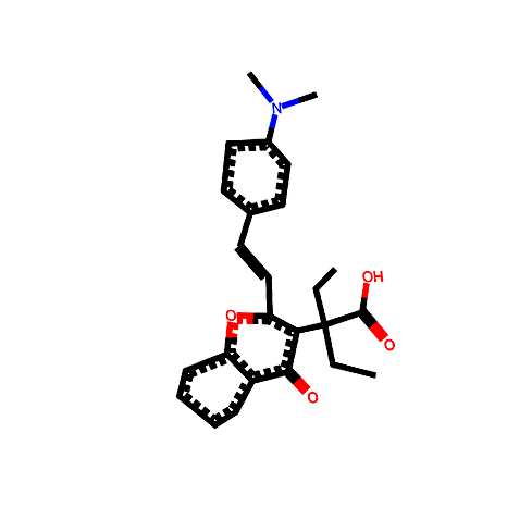 CCC(CC)(C(=O)O)c1c(C=Cc2ccc(N(C)C)cc2)oc2ccccc2c1=O